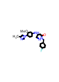 COc1cc(Nc2cnn(Cc3ccc(F)cc3)c(=O)c2)ccc1-n1cnc(C)c1